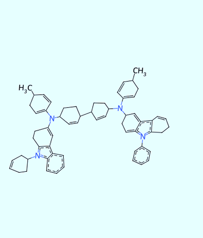 CC1C=CC(N(C2=Cc3c(n(C4CC=CCC4)c4ccccc34)CC2)C2C=CC(C3C=CC(N(C4=CCC(C)C=C4)C4C=c5c6c(n(-c7ccccc7)c5=CC4)CCC=C6)CC3)CC2)=CC1